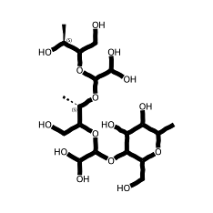 CC1OC(CO)C(OC(OC(CO)[C@H](C)OC(OC(CO)[C@H](C)O)C(O)O)C(O)O)C(O)C1O